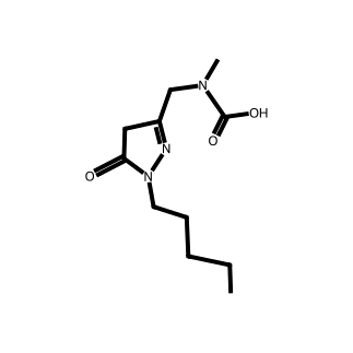 CCCCCN1N=C(CN(C)C(=O)O)CC1=O